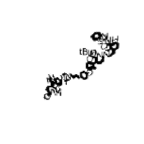 Cc1c(O[C@H]2CC[C@H](CCCCN3CCN(c4ccc5c(C6CCC(=O)NC6=O)nn(C)c5c4)[C@H](C)C3)CC2)cccc1-c1ccc(N2CCc3cccc(C(=O)Nc4nc5ccccc5s4)c3C2)nc1C(=O)OC(C)(C)C